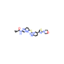 O=C(Nc1cn2nc(Sc3nnc4ccc(-c5csc(N6CCOCC6)n5)cn34)ccc2n1)C1CC1